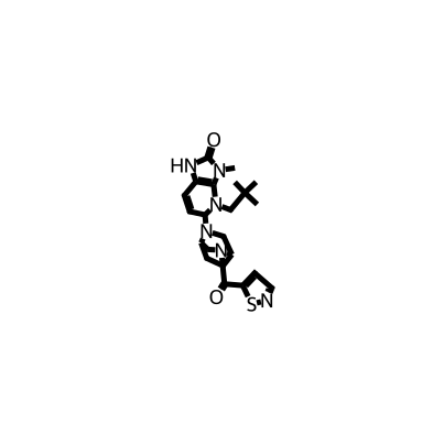 Cn1c2c([nH]c1=O)C=CC(N1CC3CCC1CN3C(=O)c1ccns1)N2CC(C)(C)C